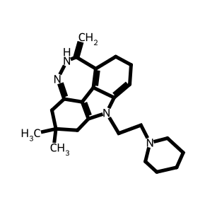 C=C1NN=C2CC(C)(C)Cc3c2c2c(n3CCN3CCCCC3)=CCCC=21